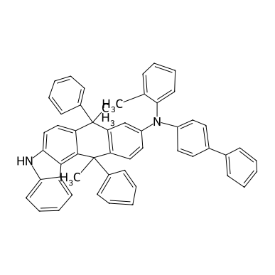 Cc1ccccc1N(c1ccc(-c2ccccc2)cc1)c1ccc2c(c1)C(C)(c1ccccc1)c1ccc3[nH]c4ccccc4c3c1C2(C)c1ccccc1